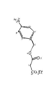 CCOC(=O)CC(=O)OCc1ccc(N)cc1